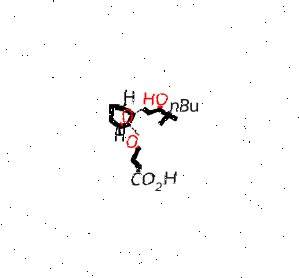 CCCCC(C)(C)C(O)CC[C@@H]1[C@H](COCCCC(=O)O)[C@@H]2CC[C@H]1O2